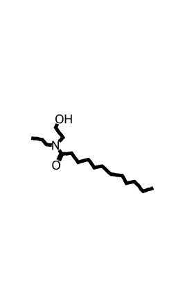 CCCCCCCCCCCC(=O)N(CCC)CCO